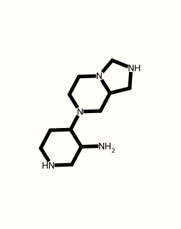 NC1CNCCC1N1CCN2CNCC2C1